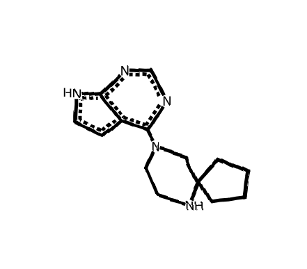 c1nc(N2CCNC3(CCCC3)C2)c2cc[nH]c2n1